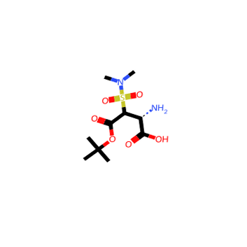 CN(C)S(=O)(=O)C(C(=O)OC(C)(C)C)[C@H](N)C(=O)O